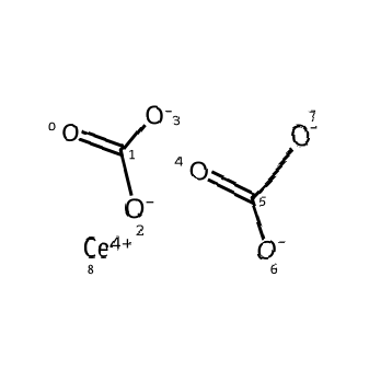 O=C([O-])[O-].O=C([O-])[O-].[Ce+4]